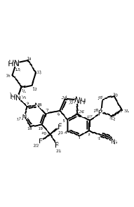 N#Cc1ccc2c(-c3nc(NC4CCCNC4)ncc3C(F)(F)F)c[nH]c2c1P1CCCC1